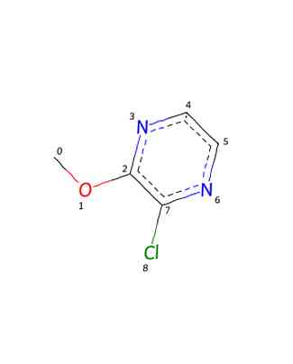 COc1n[c]cnc1Cl